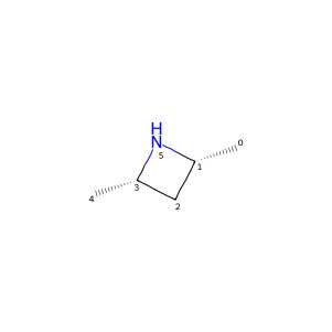 C[C@@H]1C[C@H](C)N1